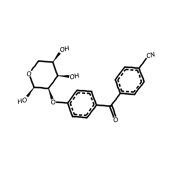 N#Cc1ccc(C(=O)c2ccc(O[C@@H]3[C@H](O)[C@H](O)CO[C@@H]3O)cc2)cc1